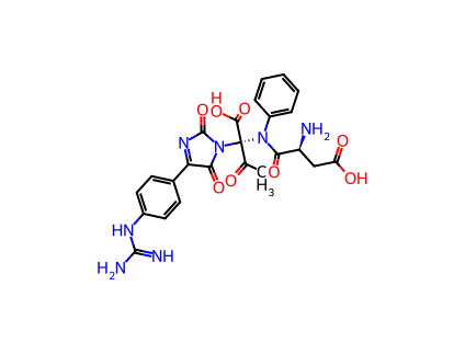 CC(=O)[C@](C(=O)O)(N1C(=O)N=C(c2ccc(NC(=N)N)cc2)C1=O)N(C(=O)[C@@H](N)CC(=O)O)c1ccccc1